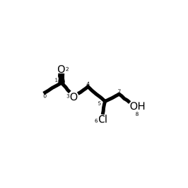 CC(=O)OCC(Cl)CO